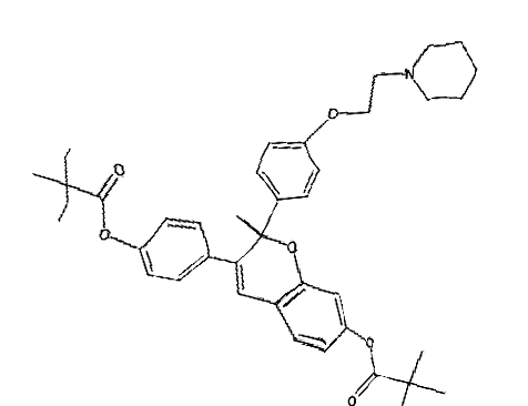 CC(C)(C)C(=O)Oc1ccc(C2=Cc3ccc(OC(=O)C(C)(C)C)cc3OC2(C)c2ccc(OCCN3CCCCC3)cc2)cc1